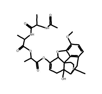 COc1ccc2c3c1OC1C(OC(=O)C(C)OC(=O)C(C)NC(=O)C(C)NC(C)=O)=CCC4(O)C(C2)N(C)CCC314